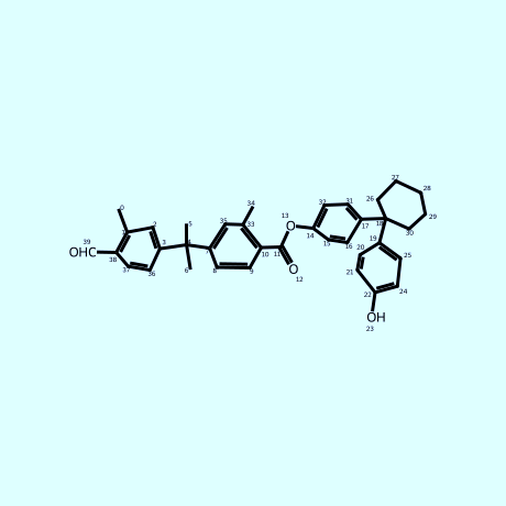 Cc1cc(C(C)(C)c2ccc(C(=O)Oc3ccc(C4(c5ccc(O)cc5)CCCCC4)cc3)c(C)c2)ccc1C=O